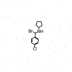 Clc1ccc(C(Br)NC2CCCC2)cc1